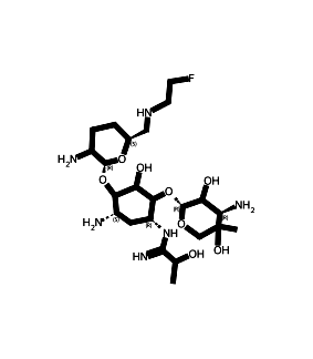 CC(O)C(=N)N[C@@H]1C[C@H](N)C(O[C@H]2O[C@H](CNCCF)CCC2N)C(O)C1O[C@H]1OCC(C)(O)[C@H](N)C1O